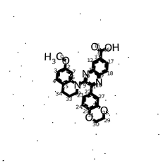 COc1ccc2c(c1)N(c1nc3cc(C(=O)O)ccc3nc1-c1ccc3c(c1)OCCO3)CCC2